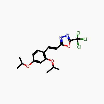 CC(C)Oc1ccc(C=Cc2nnc(C(Cl)(Cl)Cl)o2)c(OC(C)C)c1